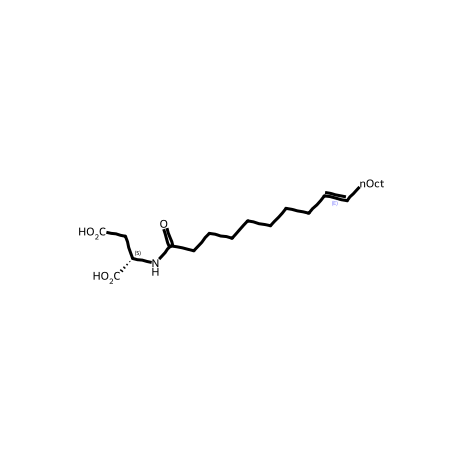 CCCCCCCC/C=C/CCCCCCCC(=O)N[C@@H](CC(=O)O)C(=O)O